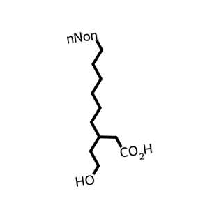 CCCCCCCCCCCCCCCC(CCO)CC(=O)O